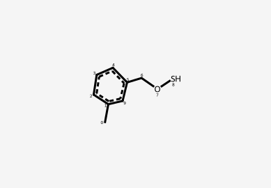 Cc1cccc(COS)c1